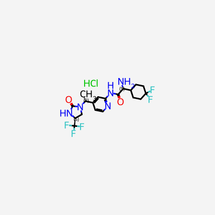 C[C@H](c1ccnc(NC(=O)[C@@H](N)C2CCC(F)(F)CC2)c1)N1C[C@@H](C(F)(F)F)NC1=O.Cl